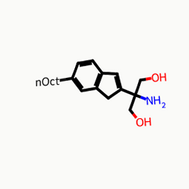 CCCCCCCCc1ccc2c(c1)CC(C(N)(CO)CO)=C2